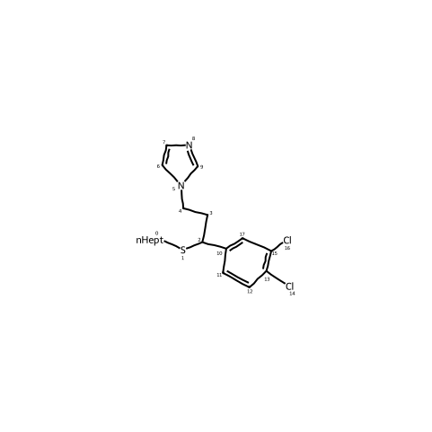 CCCCCCCSC(CCn1ccnc1)c1ccc(Cl)c(Cl)c1